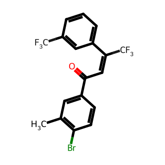 Cc1cc(C(=O)/C=C(\c2cccc(C(F)(F)F)c2)C(F)(F)F)ccc1Br